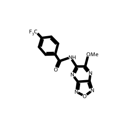 COc1nc2nonc2nc1NC(=O)c1ccc(C(F)(F)F)cc1